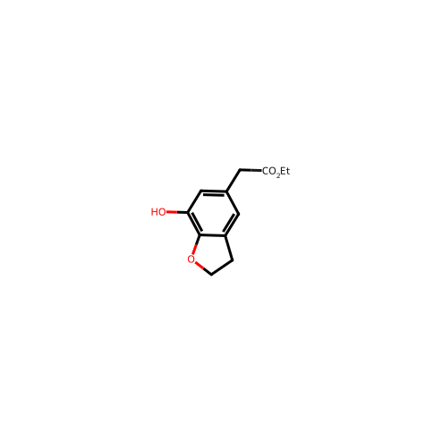 CCOC(=O)Cc1cc(O)c2c(c1)CCO2